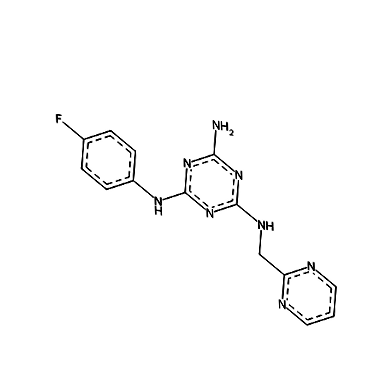 Nc1nc(NCc2ncccn2)nc(Nc2ccc(F)cc2)n1